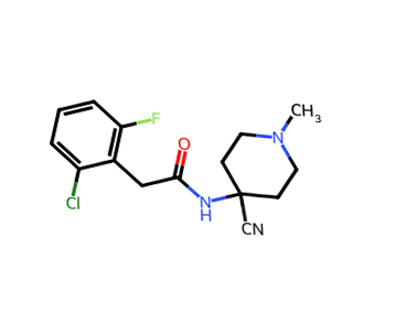 CN1CCC(C#N)(NC(=O)Cc2c(F)cccc2Cl)CC1